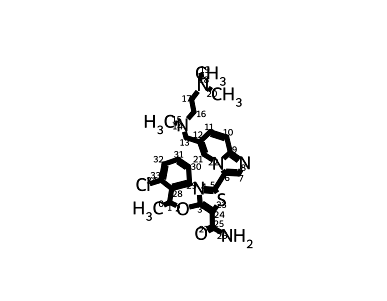 CC(Oc1nc(-c2cnc3ccc(CN(C)CCN(C)C)cn23)sc1C(N)=O)c1ccccc1Cl